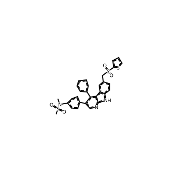 CN(c1ccc(-c2cnc3[nH]c4ccc(CS(=O)(=O)c5cccs5)cc4c3c2-c2ccccc2)cc1)S(C)(=O)=O